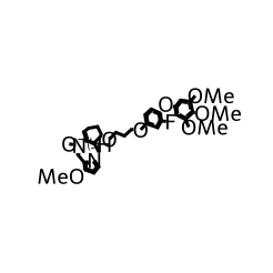 COc1cc(Oc2ccc(OCCCOC3CCC=C4[C@@H]3Cn3ccc(OC)c3C=[N+]4[O-])cc2F)cc(OC)c1OC